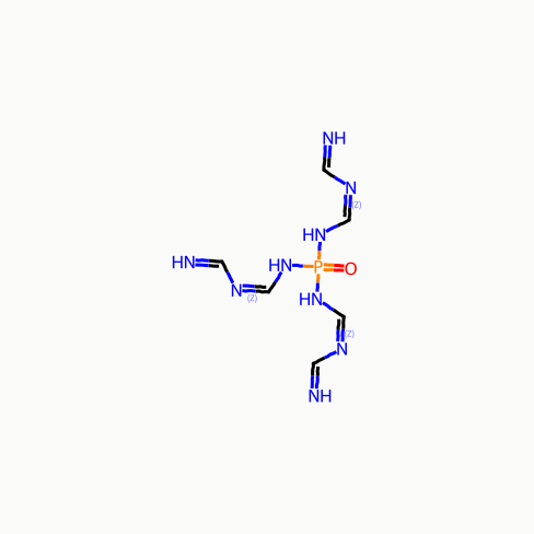 N=C/N=C\NP(=O)(N/C=N\C=N)N/C=N\C=N